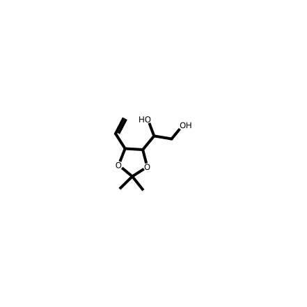 C=CC1OC(C)(C)OC1C(O)CO